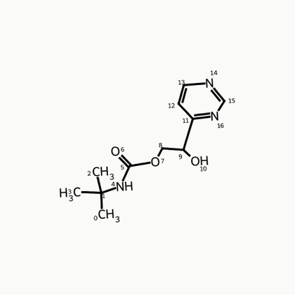 CC(C)(C)NC(=O)OCC(O)c1ccncn1